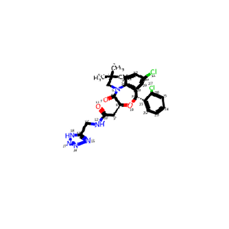 CC(C)(C)CN1C(=O)[C@H](CC(=O)NCc2nnn[nH]2)O[C@@H](c2ccccc2Cl)c2cc(Cl)ccc21